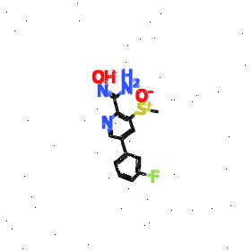 C[S+]([O-])c1cc(-c2cccc(F)c2)cnc1C(N)=NO